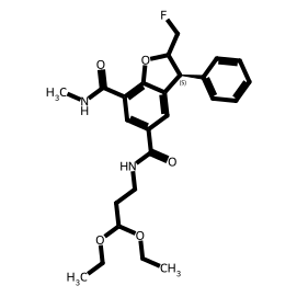 CCOC(CCNC(=O)c1cc(C(=O)NC)c2c(c1)[C@H](c1ccccc1)C(CF)O2)OCC